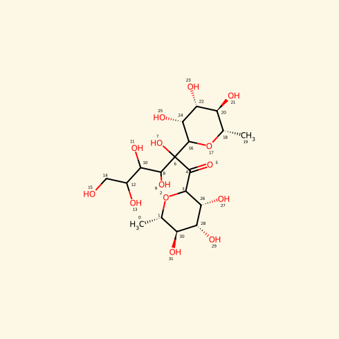 C[C@@H]1OC(C(=O)C(O)(C(O)C(O)C(O)CO)C2O[C@@H](C)[C@H](O)[C@@H](O)[C@H]2O)[C@H](O)[C@H](O)[C@H]1O